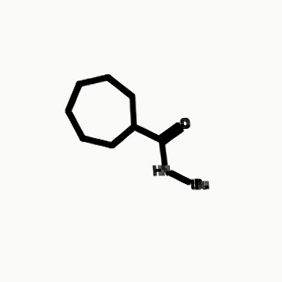 CC(C)(C)NC(=O)C1CCCCCC1